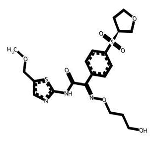 COCc1cnc(NC(=O)/C(=N/OCCCO)c2ccc(S(=O)(=O)[C@H]3CCOC3)cc2)s1